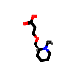 CN1CCCC[C@@H]1COCCC(=O)O